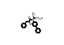 C[C@@H](C(=O)O)N(C(=O)[C@@H](S)Cc1ccccc1)c1ccc(-c2ccccc2)cc1